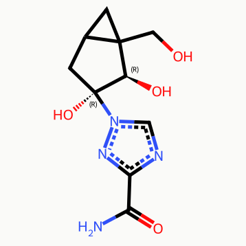 NC(=O)c1ncn([C@@]2(O)CC3CC3(CO)[C@H]2O)n1